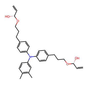 C=C[C@@H](O)OCCCc1ccc(N(c2ccc(CCCO[C@H](O)C=C)cc2)c2ccc(C)c(C)c2)cc1